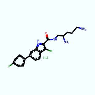 Cl.NCCCC(N)CNC(=O)c1[nH]c2cc(-c3ccc(F)cc3)ccc2c1F